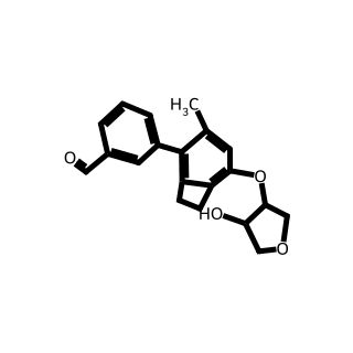 Cc1cc(OC2COCC2O)c2c(c1-c1cccc(C=O)c1)CC2